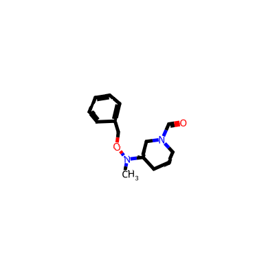 CN(OCc1ccccc1)C1CCCN(C=O)C1